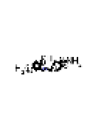 COc1ccc(OC)c(/C=C/CN2CCc3nc(N)sc3CC2)c1